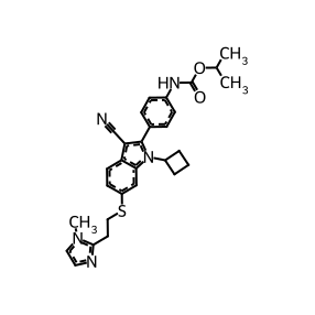 CC(C)OC(=O)Nc1ccc(-c2c(C#N)c3ccc(SCCc4nccn4C)cc3n2C2CCC2)cc1